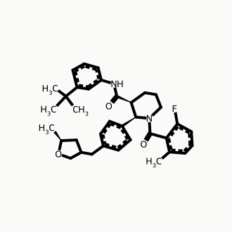 Cc1cccc(F)c1C(=O)N1CCC[C@H](C(=O)Nc2cccc(C(C)(C)C)c2)[C@@H]1c1ccc(CC2CO[C@@H](C)C2)cc1